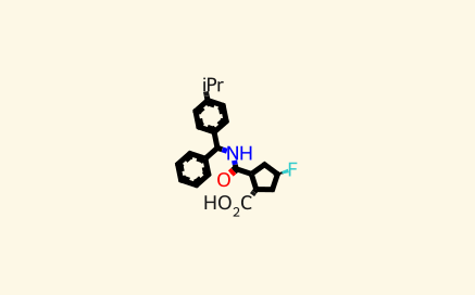 CC(C)c1ccc(C(NC(=O)C2C[C@@H](F)CC2C(=O)O)c2ccccc2)cc1